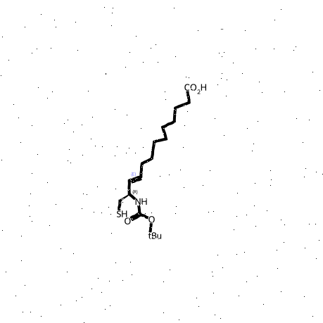 CC(C)(C)OC(=O)N[C@H](/C=C/CCCCCCCCC(=O)O)CS